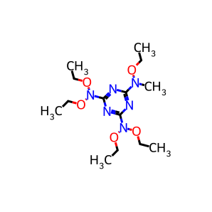 CCON(C)c1nc(N(OCC)OCC)nc(N(OCC)OCC)n1